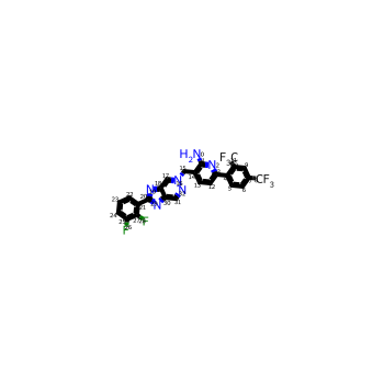 Nc1nc(-c2ccc(C(F)(F)F)cc2C(F)(F)F)ccc1Cn1cc2nc(-c3cccc(F)c3F)nc-2cn1